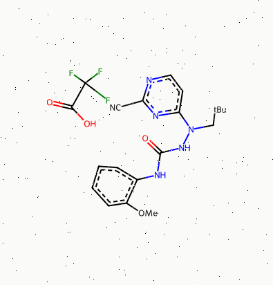 COc1ccccc1NC(=O)NN(CC(C)(C)C)c1ccnc(C#N)n1.O=C(O)C(F)(F)F